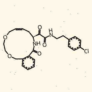 O=C(NCCc1ccc(Cl)cc1)C(=O)[C@@H]1C/C=C\COCCOCc2ccccc2C(=O)N1